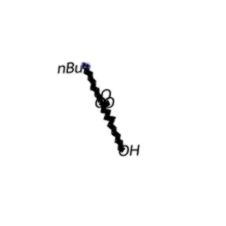 CCCC/C=C\CCCCCCCC(=O)OC(=O)CCCCCCCCCCCO